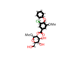 COc1cc(C(=O)O[C@H]2[C@@H](OC)O[C@H](CO)[C@@H](O)[C@@H]2O)cc(Cl)c1Oc1ccccc1